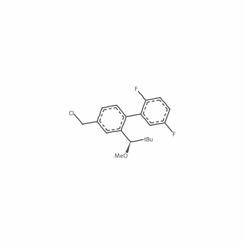 CO[C@@H](c1cc(CCl)ccc1-c1cc(F)ccc1F)C(C)(C)C